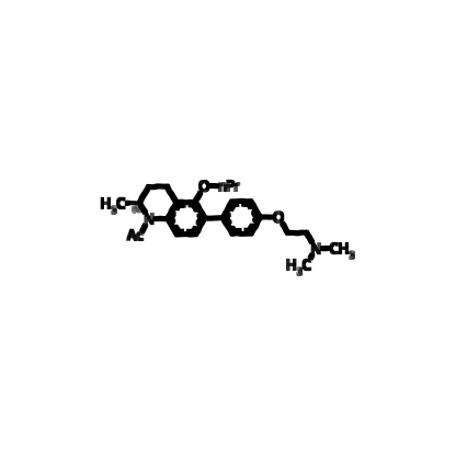 CCCOc1c(-c2ccc(OCCN(C)C)cc2)ccc2c1CC[C@H](C)N2C(C)=O